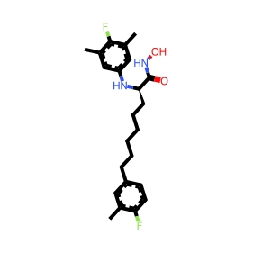 Cc1cc(CCCCCC[C@@H](Nc2cc(C)c(F)c(C)c2)C(=O)NO)ccc1F